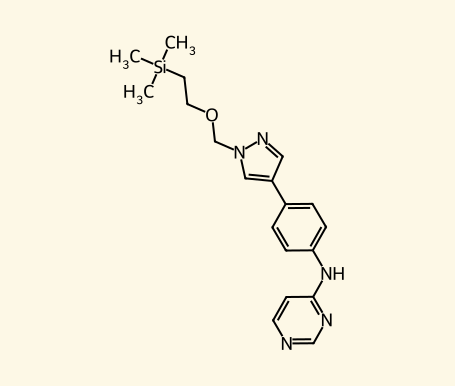 C[Si](C)(C)CCOCn1cc(-c2ccc(Nc3ccncn3)cc2)cn1